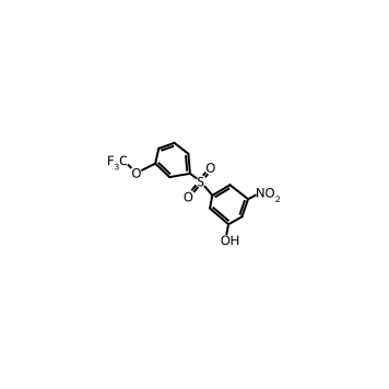 O=[N+]([O-])c1cc(O)cc(S(=O)(=O)c2cccc(OC(F)(F)F)c2)c1